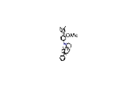 COc1cc(/C=C2\CCCN3CC[C@H](c4ccccc4)ON=C23)ccc1-n1cnc(C)c1